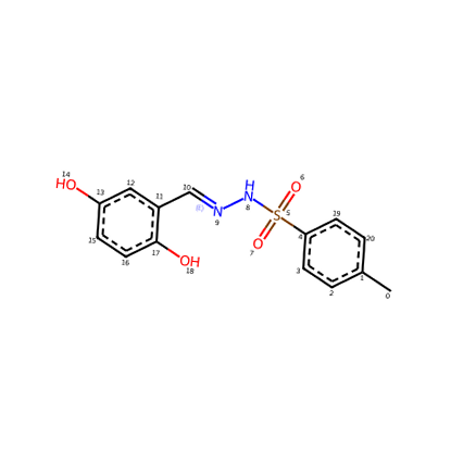 Cc1ccc(S(=O)(=O)N/N=C/c2cc(O)ccc2O)cc1